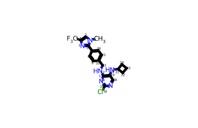 Cn1cc(C(F)(F)F)nc1-c1ccc(CNc2nc(Cl)ncc2NC2CCC2)cc1